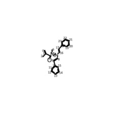 C=C(C)C(=O)N(C)N(C=Cc1ccccc1)C=Cc1ccccc1